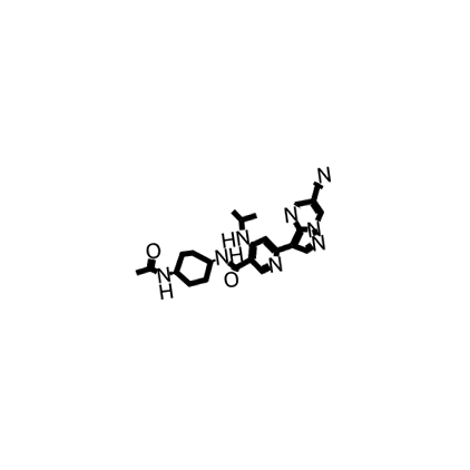 CC(=O)N[C@H]1CC[C@H](NC(=O)c2cnc(-c3cnn4cc(C#N)cnc34)cc2NC(C)C)CC1